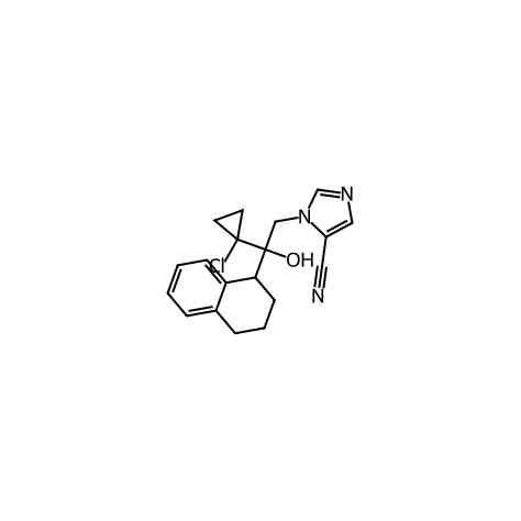 N#Cc1cncn1CC(O)(C1CCCc2ccccc21)C1(Cl)CC1